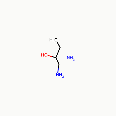 CCC(O)CN.N